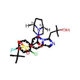 CC(C)(C)CS(=O)(=O)c1cc(N2[C@@H]3CC[C@H]2CN(C(=O)c2ccc(F)cc2Cl)C3)n2c(CC(C)(C)O)ncc2c1